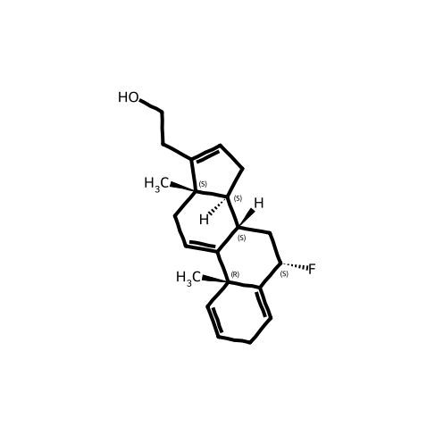 C[C@]12C=CCC=C1[C@@H](F)C[C@@H]1C2=CC[C@]2(C)C(CCO)=CC[C@@H]12